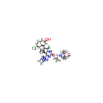 C#Cc1c(Cl)ccc2cc(O)cc(-c3ccc4c(N5CC6CCC(C5)N6)nc(OCC5(CN6C[C@H]7COC[C@@H]7C6)CC5)nc4c3F)c12